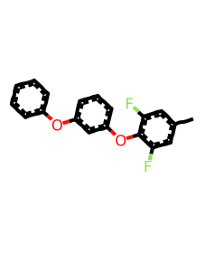 Cc1cc(F)c(Oc2cccc(Oc3ccccc3)c2)c(F)c1